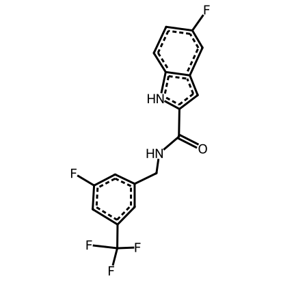 O=C(NCc1cc(F)cc(C(F)(F)F)c1)c1cc2cc(F)ccc2[nH]1